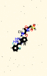 CCN(C[C@@]12CC[C@@H](/C(=C/C(=N)c3c(F)cccc3F)C1=N)C2(C)C)C(=O)c1coc(CS(C)(=O)=O)n1